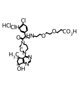 C[C@@H]1C[C@@H](O)c2ncnc(N3CCN(C(=O)[C@H](CNCCOCCOCCC(=O)O)c4ccc(Cl)cc4)CC3)c21.Cl.Cl